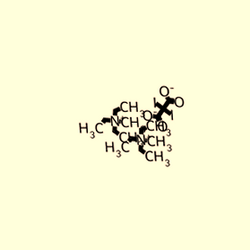 CC[N+](C)(CC)CC.CC[N+](C)(CC)CC.O=C([O-])C(I)(I)C(=O)[O-]